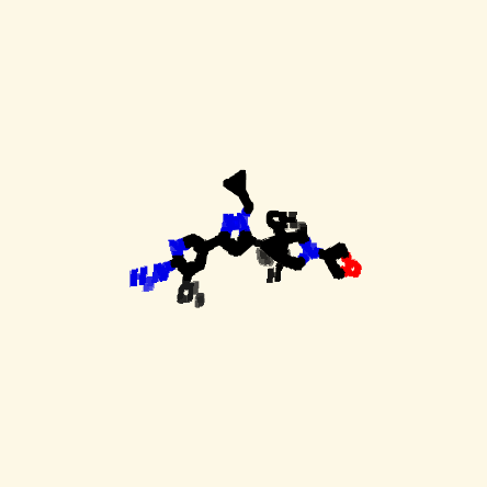 CC12CN(C3COC3)C[C@H]1[C@@H]2c1cc(-c2cnc(N)c(C(F)(F)F)c2)nn1CC1CC1